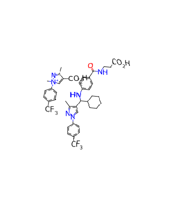 CC1=N[N+](C)(c2ccc(C(F)(F)F)cc2)C=C1C(=O)O.Cc1nn(-c2ccc(C(F)(F)F)cc2)cc1C(Nc1ccc(C(=O)NCCC(=O)O)cc1)C1CCCCC1